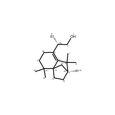 CC[C@H](CO)C1=C2C(C)(C)[C@H]3CCC2(C3)C(C)(C)CC1